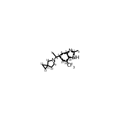 Cc1nc2cc(C(C)N3CCC4(CC4)C3)cc(C(F)(F)F)c2[nH]1